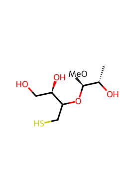 CO[C@H](OC(CS)[C@H](O)CO)[C@H](C)O